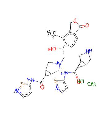 Cc1c([C@@H](O)CN2CC3C(C2)C3C(=O)Nc2ccns2)ccc2c1COC2=O.Cl.Cl.O=C(Nc1ccns1)C1C2CNCC21